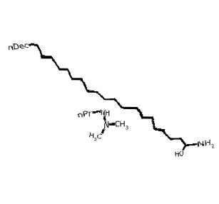 CCCCCCCCCCCCCCCCCCCCCCCCCCCCCC(N)O.CCCNN(C)C